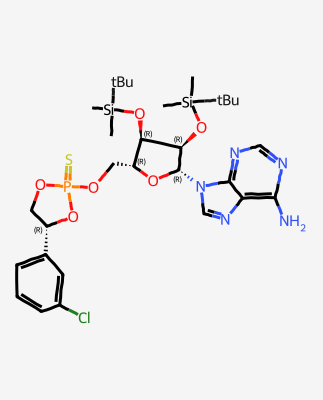 CC(C)(C)[Si](C)(C)O[C@@H]1[C@H](O[Si](C)(C)C(C)(C)C)[C@@H](COP2(=S)OC[C@@H](c3cccc(Cl)c3)O2)O[C@H]1n1cnc2c(N)ncnc21